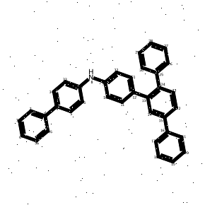 c1ccc(-c2ccc(Nc3ccc(-c4cc(-c5ccccc5)ccc4-c4ccccc4)cc3)cc2)cc1